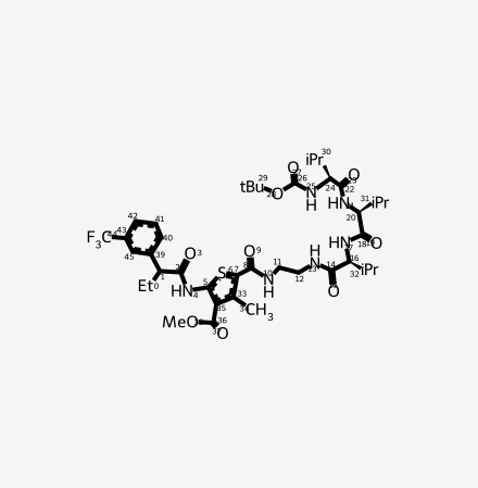 CCC(C(=O)Nc1sc(C(=O)NCCNC(=O)[C@@H](NC(=O)[C@@H](NC(=O)[C@@H](NC(=O)OC(C)(C)C)C(C)C)C(C)C)C(C)C)c(C)c1C(=O)OC)c1cccc(C(F)(F)F)c1